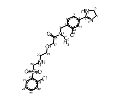 CN(Cc1ccc(C2=NCCN2)cc1Cl)C(=O)COCCNCS(=O)(=O)c1ccccc1Cl